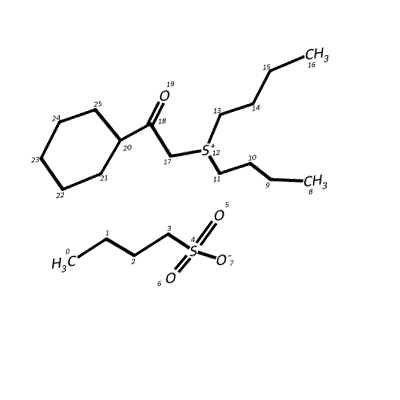 CCCCS(=O)(=O)[O-].CCCC[S+](CCCC)CC(=O)C1CCCCC1